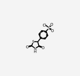 O=C1NC(=O)C(c2ccc(S(=O)(=O)Cl)cc2)S1